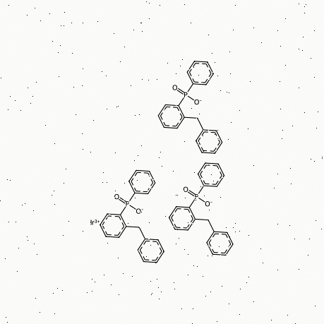 O=P([O-])(c1ccccc1)c1ccccc1Cc1ccccc1.O=P([O-])(c1ccccc1)c1ccccc1Cc1ccccc1.O=P([O-])(c1ccccc1)c1ccccc1Cc1ccccc1.[Ir+3]